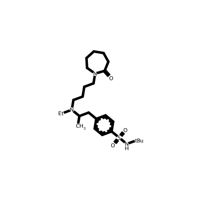 CCN(CCCCN1CCCCCC1=O)C(C)Cc1ccc(S(=O)(=O)NC(C)(C)C)cc1